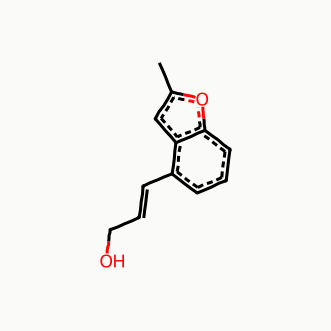 Cc1cc2c(C=CCO)cccc2o1